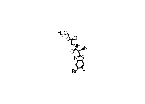 CCOC(=O)CNC(=O)C(C#N)c1nc2cc(Br)c(F)cc2s1